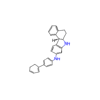 C1=CCCC(c2ccc(Nc3ccc4c(c3)NC3CCc5ccccc5[C@@H]43)cc2)=C1